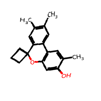 Cc1cc2c(cc1C)C1(CCC1)Oc1cc(O)c(C)cc1-2